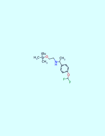 CC(NCCO[Si](C)(C)C(C)(C)C)c1ccc(OC(F)F)cc1